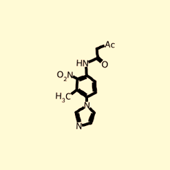 CC(=O)CC(=O)Nc1ccc(-n2ccnc2)c(C)c1[N+](=O)[O-]